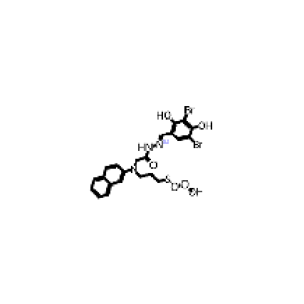 O=C(CN(CCCSOOO)c1ccc2ccccc2c1)N/N=C/c1cc(Br)c(O)c(Br)c1O